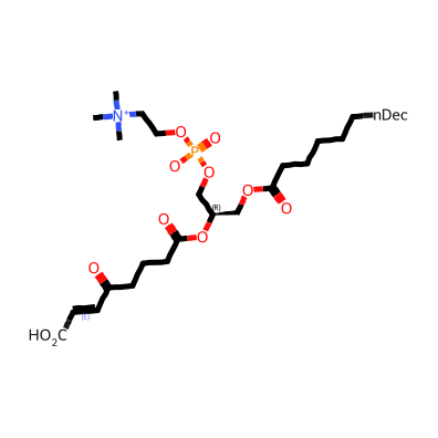 CCCCCCCCCCCCCCCC(=O)OC[C@H](COP(=O)([O-])OCC[N+](C)(C)C)OC(=O)CCCC(=O)/C=C/C(=O)O